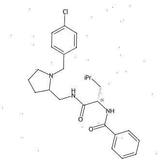 CC(C)C[C@H](NC(=O)c1ccccc1)C(=O)NCC1CCCN1Cc1ccc(Cl)cc1